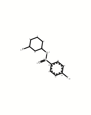 O=S(OC1CCCC(F)C1)c1ccc(F)cc1